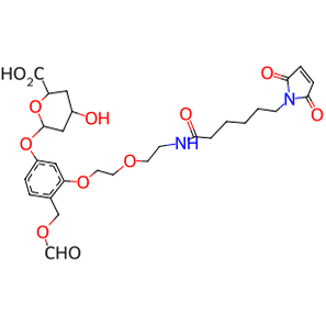 O=COCc1ccc(OC2CC(O)CC(C(=O)O)O2)cc1OCCOCCNC(=O)CCCCCN1C(=O)C=CC1=O